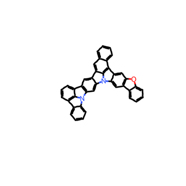 c1ccc2c(c1)cc1c3cc4c5cccc6c7ccccc7n(c4cc3n3c4cc7c(cc4c2c13)oc1ccccc17)c65